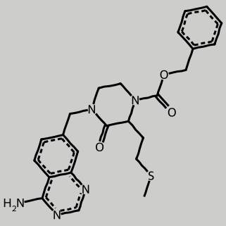 CSCCC1C(=O)N(Cc2ccc3c(N)ncnc3c2)CCN1C(=O)OCc1ccccc1